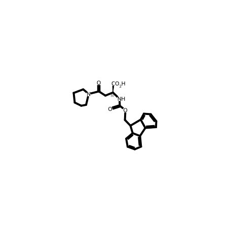 O=C(N[C@@H](CC(=O)N1CCCCC1)C(=O)O)OCC1c2ccccc2-c2ccccc21